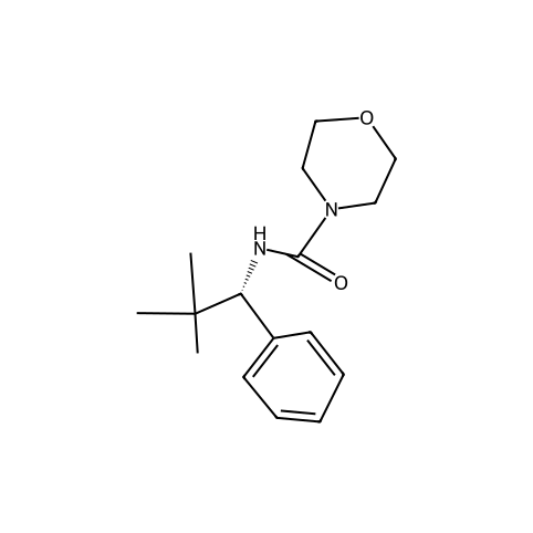 CC(C)(C)[C@H](NC(=O)N1CCOCC1)c1ccccc1